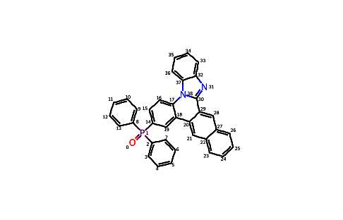 O=P(c1ccccc1)(c1ccccc1)c1ccc2c(c1)c1cc3ccccc3cc1c1nc3ccccc3n21